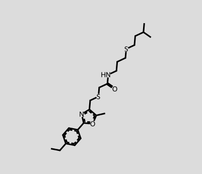 CCc1ccc(-c2nc(CSCC(=O)NCCCSCCC(C)C)c(C)o2)cc1